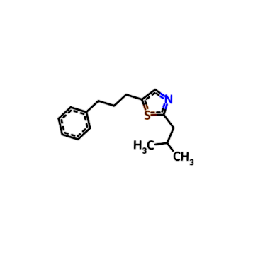 CC(C)Cc1ncc(CCCc2ccccc2)s1